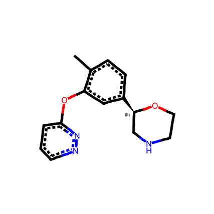 Cc1ccc([C@@H]2CNCCO2)cc1Oc1cccnn1